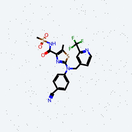 Cc1sc(N(Cc2ccnc(C(F)(F)F)c2)c2ccc(C#N)cc2)nc1C(=O)NS(C)(=O)=O